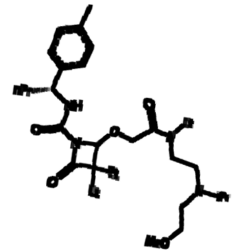 CCC[C@@H](NC(=O)N1C(=O)C(CC)(CC)C1OCC(=O)N(CC)CCN(CCOC)C(C)C)c1ccc(C)cc1